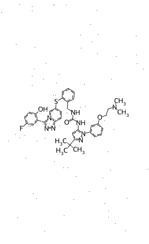 CN(C)CCOc1cccc(-n2nc(C(C)(C)C)cc2NC(=O)NCc2ccccc2Sc2ccc3nnc(-c4cc(F)ccc4O)n3c2)c1